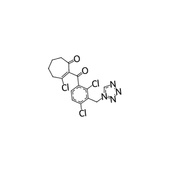 O=C1CCCCC(Cl)=C1C(=O)c1ccc(Cl)c(Cn2cnnn2)c1Cl